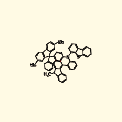 CC1c2ccccc2-c2c(-c3ccccc3N(c3ccc4c(c3)C3=C(CCC=C3)C43c4cc(C(C)(C)C)ccc4-c4ccc(C(C)(C)C)cc43)c3cccc4c3sc3ccccc34)cccc21